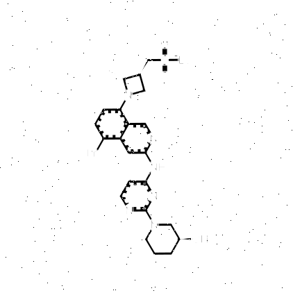 CCS(=O)(=O)C[C@H]1CN(c2ccc(C(C)C)c3cc(Nc4ccnc(N5CCC[C@H](O)C5)n4)ncc23)[C@@H]1C